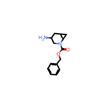 NC1CC2CC2N(C(=O)OCc2ccccc2)C1